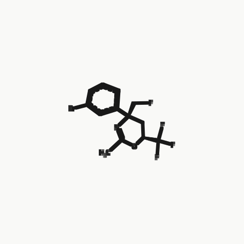 CC1=N[C@](CF)(c2cccc(Br)c2)C[C@@H](C(F)(F)F)O1